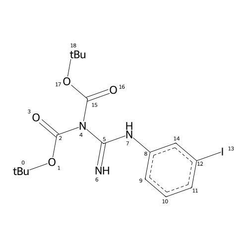 CC(C)(C)OC(=O)N(C(=N)Nc1cccc(I)c1)C(=O)OC(C)(C)C